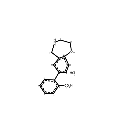 Cl.O=C(O)c1ccccc1-c1ccc2c(c1)CNCCO2